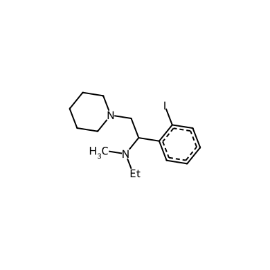 CCN(C)C(CN1CCCCC1)c1ccccc1I